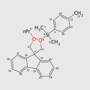 CCCOCC1(CO[Si](C)(C)c2ccc(C)cc2)c2ccccc2-c2ccccc21